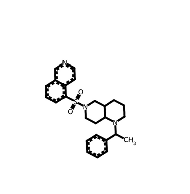 CC(c1ccccc1)N1CCCC2CN(S(=O)(=O)c3cccc4cnccc34)CCC21